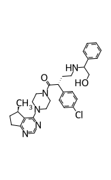 C[C@@H]1CCc2ncnc(N3CCN(C(=O)[C@H](CCNC(CO)c4ccccc4)c4ccc(Cl)cc4)CC3)c21